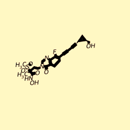 C[C@@](CCn1cnc2c(F)c(C#CC#C[C@@H]3C[C@H]3CO)ccc2c1=O)(C(=O)NO)S(C)(=O)=O